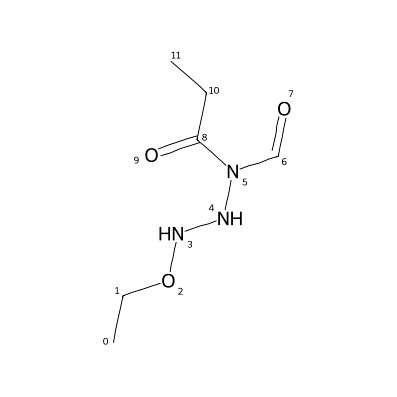 CCONNN(C=O)C(=O)CC